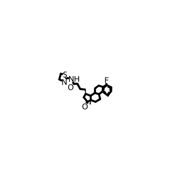 C[C@]12CCC3c4cccc(F)c4CCC3C1[C@H](CCCC(=O)NC1=NCCS1)CC2=O